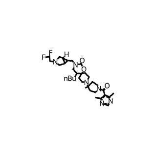 CCCCC1CN(CC2C3CN(CC(F)F)C[C@@H]32)C(=O)OC12CCN(C1(C)CCN(C(=O)c3c(C)ncnc3C)CC1)CC2